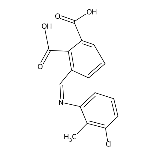 Cc1c(Cl)cccc1/N=C\c1cccc(C(=O)O)c1C(=O)O